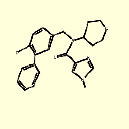 Cn1cnc(C(=O)N(Cc2ccc(F)c(-c3ccccc3)c2)C2CCOCC2)c1